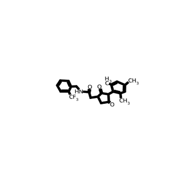 Cc1cc(C)c(C2C(=O)CC(CC(=O)NCc3ccccc3C(F)(F)F)C2=O)c(C)c1